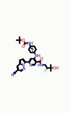 CC(C)(C)OC(=O)NC12CCC(Nc3cc(-c4ccc5cc(C#N)cnn45)ncc3C(=O)NCC(F)C(C)(C)O)(CC1)CC2